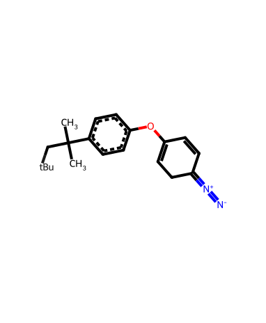 CC(C)(C)CC(C)(C)c1ccc(OC2=CCC(=[N+]=[N-])C=C2)cc1